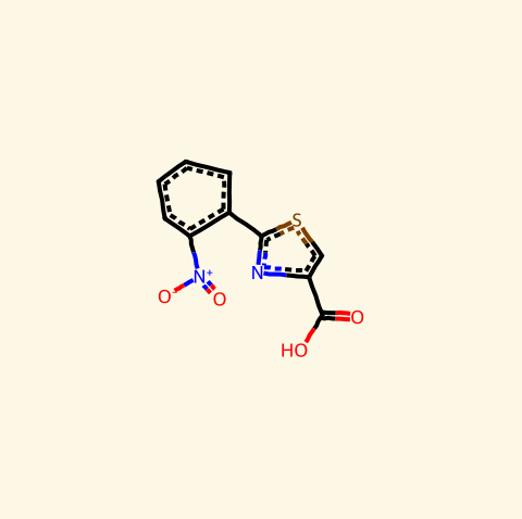 O=C(O)c1csc(-c2ccccc2[N+](=O)[O-])n1